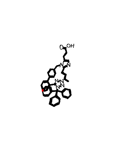 CCCCc1ncc(C=CC(=O)O)n1Cc1ccc(-c2ccccc2-c2nnnn2C(c2ccccc2)(c2ccccc2)c2ccccc2)cc1